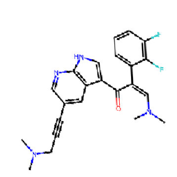 CN(C)/C=C(\C(=O)c1c[nH]c2ncc(C#CCN(C)C)cc12)c1cccc(F)c1F